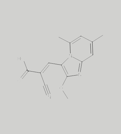 COc1nc2cc(C)cc(C)n2c1/C=C(\C#N)C(=O)O